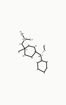 CC[C@H](C1CCCCC1)C1CCC(C)(C[S+]([O-])I)CC1